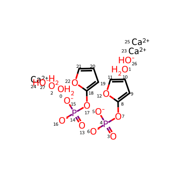 O.O.O.O=P([O-])([O-])Oc1ccco1.O=P([O-])([O-])Oc1ccco1.[Ca+2].[Ca+2].[Ca+2].[OH-].[OH-]